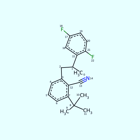 CC(Cc1cccc(C(C)(C)C)c1C#N)c1cc(F)ccc1F